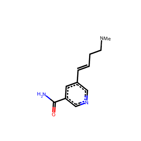 CNCCC=Cc1cncc(C(N)=O)c1